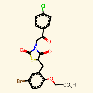 O=C(O)COc1ccc(Br)cc1CC1SC(=O)N(CC(=O)c2ccc(Cl)cc2)C1=O